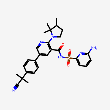 CC1CCN(c2ncc(-c3ccc(C(C)(C)C#N)cc3)cc2C(=O)NS(=O)(=O)c2cccc(N)n2)C1(C)C